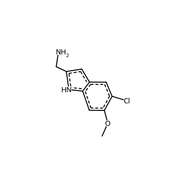 COc1cc2[nH]c(CN)cc2cc1Cl